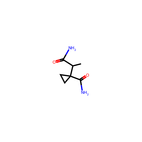 CC(C(N)=O)C1(C(N)=O)CC1